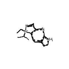 CC[N+]1(C(C)C)N=Cc2nc3[nH]ccc3cc21